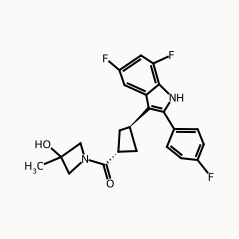 CC1(O)CN(C(=O)[C@H]2C[C@H](c3c(-c4ccc(F)cc4)[nH]c4c(F)cc(F)cc43)C2)C1